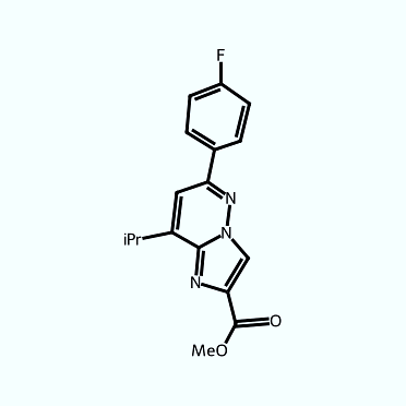 COC(=O)c1cn2nc(-c3ccc(F)cc3)cc(C(C)C)c2n1